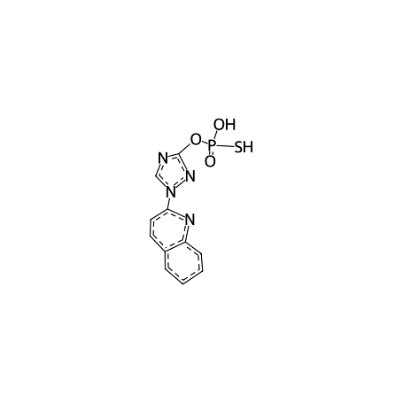 O=P(O)(S)Oc1ncn(-c2ccc3ccccc3n2)n1